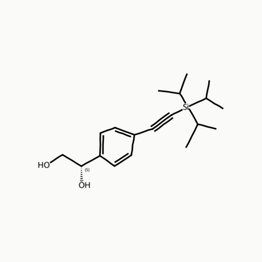 CC(C)[Si](C#Cc1ccc([C@H](O)CO)cc1)(C(C)C)C(C)C